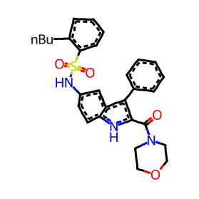 CCCCc1ccccc1S(=O)(=O)Nc1ccc2[nH]c(C(=O)N3CCOCC3)c(-c3ccccc3)c2c1